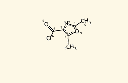 Cc1nc(C(=O)Cl)c(C)o1